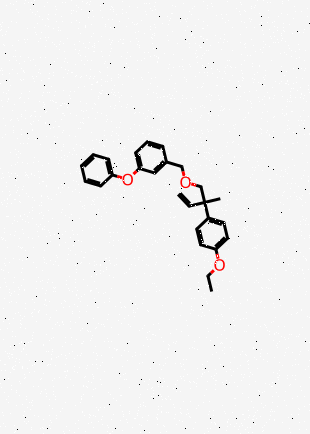 C=CC(C)(COCc1cccc(Oc2ccccc2)c1)c1ccc(OCC)cc1